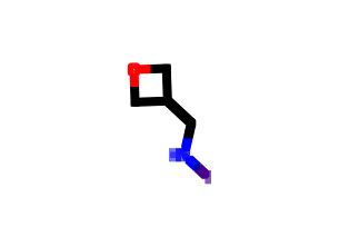 INCC1COC1